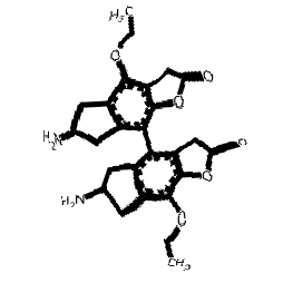 CCOc1c2c(c(-c3c4c(c(OCC)c5c3CC(=O)O5)CC(N)C4)c3c1CC(=O)O3)CC(N)C2